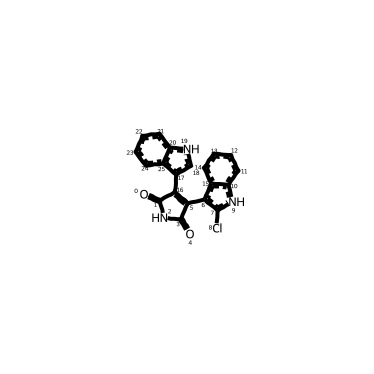 O=C1NC(=O)C(c2c(Cl)[nH]c3ccccc23)=C1c1c[nH]c2ccccc12